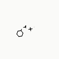 CCOC(=O)OC(C)(CC)OC(=O)OC1CCCCC1